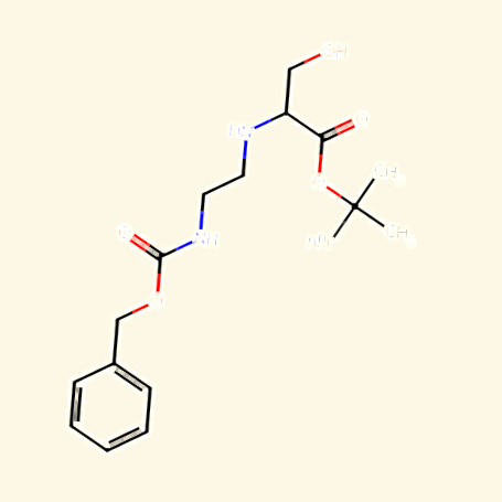 CCCC(C)(C)OC(=O)C(CO)NCCNC(=O)OCc1ccccc1